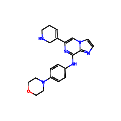 C1=C(c2cn3ccnc3c(Nc3ccc(N4CCOCC4)cc3)n2)CNCC1